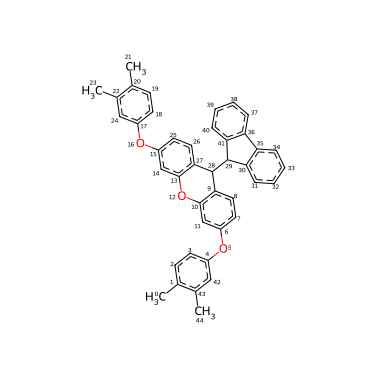 Cc1ccc(Oc2ccc3c(c2)Oc2cc(Oc4ccc(C)c(C)c4)ccc2C3C2c3ccccc3-c3ccccc32)cc1C